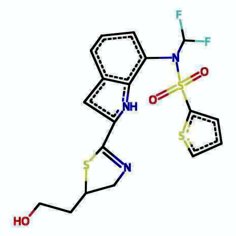 O=S(=O)(c1cccs1)N(c1cccc2cc(C3=NCC(CCO)S3)[nH]c12)C(F)F